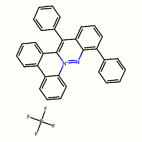 F[B-](F)(F)F.c1ccc(-c2cccc3c(-c4ccccc4)c4c5ccccc5c5ccccc5[n+]4nc23)cc1